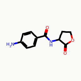 Nc1ccc(C(=O)NC2CCOC2=O)cc1